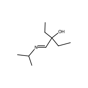 CCC(O)(/C=N/C(C)C)CC